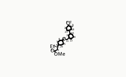 CC[C@H](CC(=O)OC)c1ccc(OCc2cccc(-c3ccc(C(F)(F)F)cc3)c2)cc1